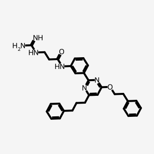 N=C(N)NCCC(=O)Nc1cccc(-c2nc(CCCc3ccccc3)cc(OCCc3ccccc3)n2)c1